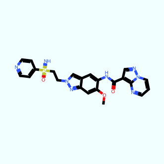 COc1cc2nn(CCS(=N)(=O)c3ccncc3)cc2cc1NC(=O)c1cnn2cccnc12